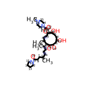 C/C(=C\C=C\[C@@H](C)CCC(=O)N1CCCC1)[C@H]1C(=O)C(=O)C[C@@H](O)CC[C@](C)(O)[C@@H](OC(=O)N2CCN(C)CC2)/C=C/[C@@H]1C